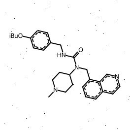 CC(C)COc1ccc(CNC(=O)N(Cc2cccc3ccncc23)C2CCN(C)CC2)cc1